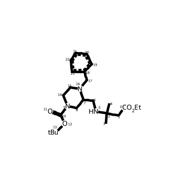 CCOC(=O)CC(C)(C)NCC1CN(C(=O)OC(C)(C)C)CCN1Cc1ccccc1